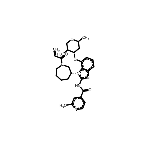 C=CC(=O)N1CCCC[C@@H](n2c(NC(=O)c3ccnc(C)c3)nc3cccc(O[C@@H]4CC(C)OCC4C)c32)C1